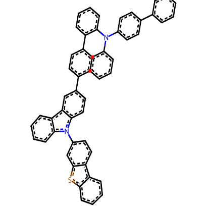 c1ccc(-c2ccc(N(c3ccccc3)c3ccccc3-c3ccc(-c4ccc5c(c4)c4ccccc4n5-c4ccc5c(c4)sc4ccccc45)cc3)cc2)cc1